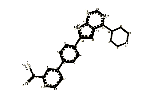 NC(=O)c1cc(-c2ccc(-c3cc4c(C5CCOCC5)ncnc4[nH]3)cc2)ccn1